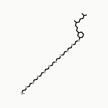 CC(C)CCCC(C)CCCC1CCCC(OCCOCCOCCOCCOCCOCCOCCOCCOCCOCCO)C1